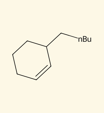 CCCCCC1C=CCCC1